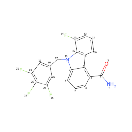 NC(=O)c1cccc2c1c1[c]ccc(F)c1n2Cc1cc(F)c(F)c(F)c1